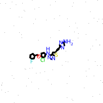 Nc1cnc(C#Cc2cc3c(Nc4ccc(OCc5cccc(F)c5)c(Cl)c4)ncnc3s2)cn1